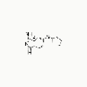 Nc1n[nH]c2ccc(SC3CCCC3)cc12